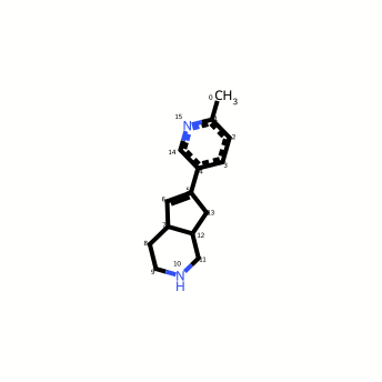 Cc1ccc(C2=CC3CCNCC3C2)cn1